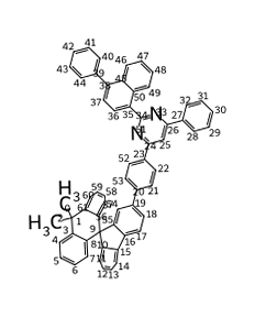 CC1(C)c2ccccc2C2(c3ccccc3-c3ccc(-c4ccc(-c5cc(-c6ccccc6)nc(-c6ccc(-c7ccccc7)c7ccccc67)n5)cc4)cc32)c2ccccc21